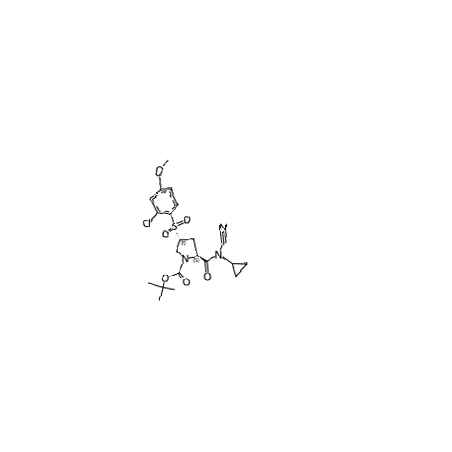 COc1ccc(S(=O)(=O)[C@@H]2C[C@@H](C(=O)N(C#N)C3CC3)N(C(=O)OC(C)(C)C)C2)c(Cl)c1